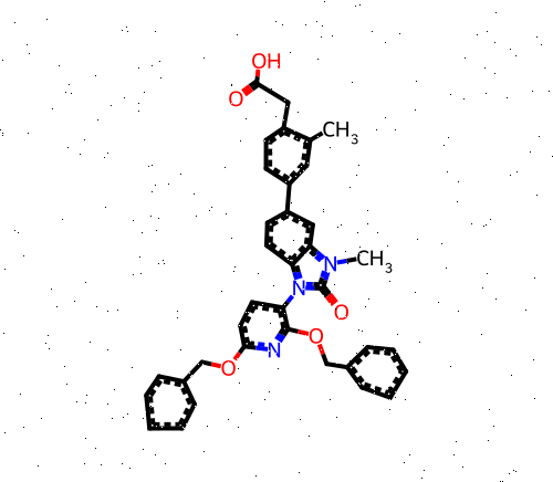 Cc1cc(-c2ccc3c(c2)n(C)c(=O)n3-c2ccc(OCc3ccccc3)nc2OCc2ccccc2)ccc1CC(=O)O